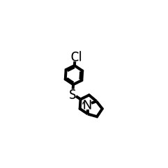 CN1C2CCC1CC(Sc1ccc(Cl)cc1)C2